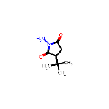 CC(C)(C)C1CC(=O)N(N)C1=O